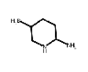 BC1CCC(N)NC1